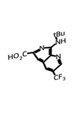 CC(C)(C)Nc1nc(C(=O)O)cc2cc(C(F)(F)F)cnc12